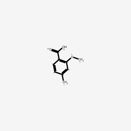 COc1cc(C)ccc1C(=O)O